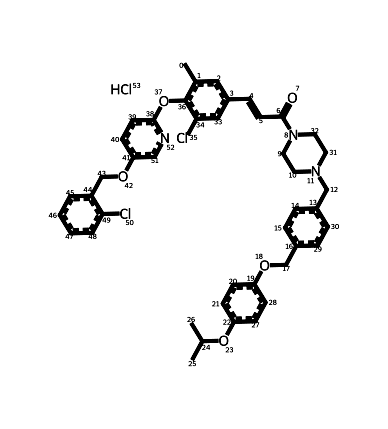 Cc1cc(C=CC(=O)N2CCN(Cc3ccc(COc4ccc(OC(C)C)cc4)cc3)CC2)cc(Cl)c1Oc1ccc(OCc2ccccc2Cl)cn1.Cl